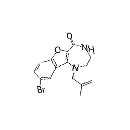 C=C(C)CN1CCNC(=O)c2oc3ccc(Br)cc3c21